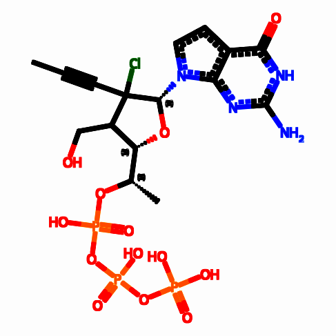 CC#CC1(Cl)C(CO)[C@@H]([C@H](C)OP(=O)(O)OP(=O)(O)OP(=O)(O)O)O[C@H]1n1ccc2c(=O)[nH]c(N)nc21